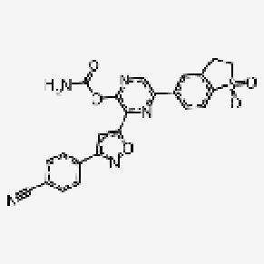 N#Cc1ccc(-c2cc(-c3nc(-c4ccc5c(c4)CCS5(=O)=O)cnc3OC(N)=O)on2)cc1